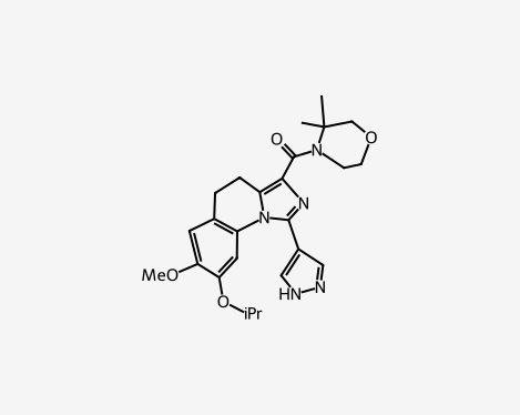 COc1cc2c(cc1OC(C)C)-n1c(-c3cn[nH]c3)nc(C(=O)N3CCOCC3(C)C)c1CC2